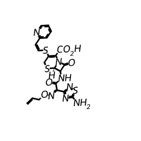 C=CCO/N=C(\C(=O)NC1C(=O)N2C(C(=O)O)=C(S/C=C\c3ccccn3)CS[C@H]12)c1nsc(N)n1